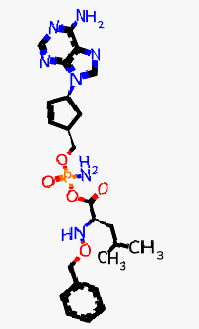 CC(C)C[C@@H](NOCc1ccccc1)C(=O)OP(N)(=O)OC[C@H]1C=C[C@@H](n2cnc3c(N)ncnc32)C1